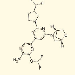 Nc1ncc(-c2cc(N3C[C@@H]4C[C@H]3CO4)nc(N3CCC(C(F)F)C3)n2)cc1OC(F)F